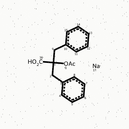 CC(=O)OC(Cc1ccccc1)(Cc1ccccc1)C(=O)O.[Na]